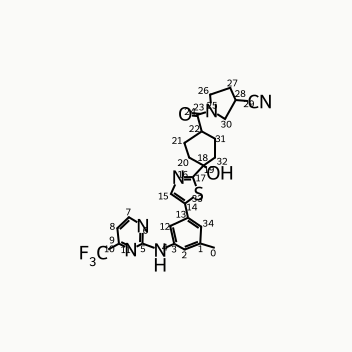 Cc1cc(Nc2nccc(C(F)(F)F)n2)cc(-c2cnc(C3(O)CCC(C(=O)N4CCC(C#N)C4)CC3)s2)c1